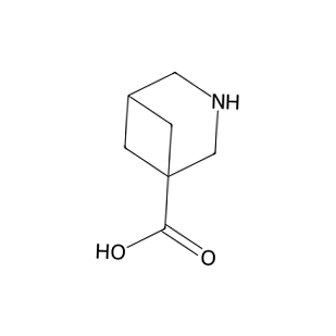 O=C(O)C12CNCC(C1)C2